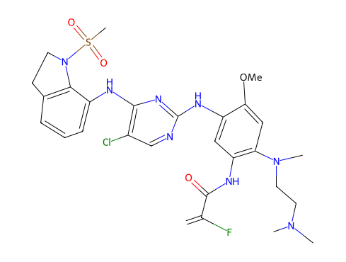 C=C(F)C(=O)Nc1cc(Nc2ncc(Cl)c(Nc3cccc4c3N(S(C)(=O)=O)CC4)n2)c(OC)cc1N(C)CCN(C)C